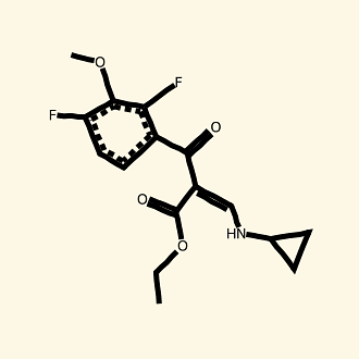 CCOC(=O)/C(=C\NC1CC1)C(=O)c1ccc(F)c(OC)c1F